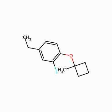 CCc1ccc(OC2(C)CCC2)c(F)c1